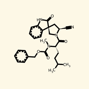 CC(C)CC[C@@H](C(=O)N1C[C@]2(C[C@H]1C#N)C(=O)Nc1ccccc12)N(C)C(=O)OCc1ccccc1